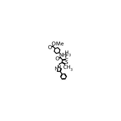 COC(=O)C1CCC(NC(=O)c2c(C)sc(C)c2Cn2cc(-c3ccccc3)cn2)CC1